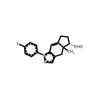 CC12Cc3cnn(-c4ccc(F)cc4)c3C=C1CC[C@@H]2C=O